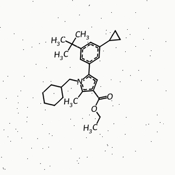 CCOC(=O)c1cc(-c2cc(C3CC3)cc(C(C)(C)C)c2)n(CC2CCCCC2)c1C